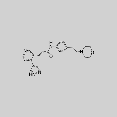 O=C(/C=C/c1cnccc1-c1cn[nH]c1)Nc1ccc(CCN2CCOCC2)cc1